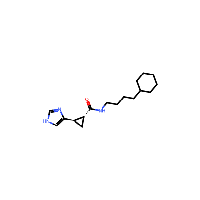 O=C(NCCCCC1CCCCC1)[C@@H]1C[C@H]1c1c[nH]cn1